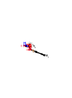 CCCCCCCCCCCCCCCCSSCCOP(=O)(O)OCC1OC(n2ccc(NO)nc2=O)[C@H](OC(C)=O)[C@@H]1OC(C)=O